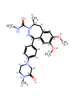 CNC(=O)N1N=C(c2ccc(N3CCN(C)C(=O)C3)cc2)c2cc(OC)c(OC)cc2C[C@@H]1C